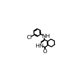 O=c1[nH]cc(Nc2cccc(Cl)c2)c2c1CCCC2